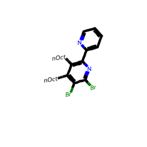 CCCCCCCCc1c(-c2ccccn2)nc(Br)c(Br)c1CCCCCCCC